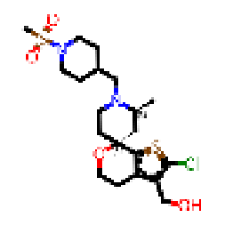 C[C@H]1C[C@@]2(CCN1CC1CCN(S(C)(=O)=O)CC1)OCCc1c2sc(Cl)c1CO